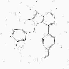 C=Cc1ccc(-c2nccc3c(C)c(C)n(Cc4cccc(OC)c4)c23)cc1.Cl